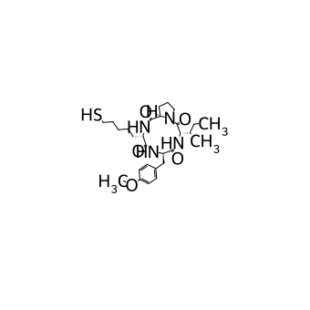 CCC(C)[C@@H]1NC(=O)[C@@H](Cc2ccc(OC)cc2)NC(=O)[C@H](CCCCCS)NC(=O)[C@H]2CCCN2C1=O